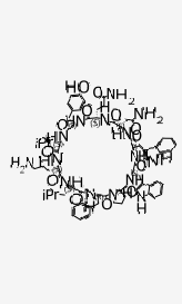 CC(C)C[C@@H]1NC(=O)[C@H](CCCN)NC(=O)[C@H](C(C)C)NC(=O)[C@H](Cc2ccc(O)cc2)NC(=O)[C@H](CCC(N)=O)NC(=O)[C@H](CC(N)=O)NC(=O)[C@@H](Cc2c[nH]c3ccccc23)NC(=O)[C@H](Cc2c[nH]c3ccccc23)NC(=O)[C@@H]2CCCN2C(=O)[C@@H](Cc2ccccc2)NC1=O